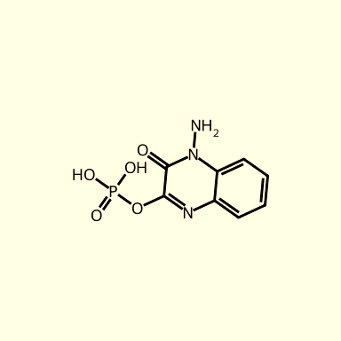 Nn1c(=O)c(OP(=O)(O)O)nc2ccccc21